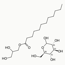 CCCCCCCCCCCC(=O)OCC(O)CO.OC[C@H]1OC(O)[C@H](O)[C@@H](O)[C@@H]1O